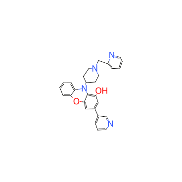 Oc1cc(-c2cccnc2)cc2c1N(C1CCN(Cc3ccccn3)CC1)c1ccccc1O2